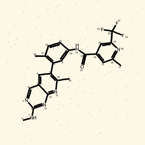 CNc1ncc2cc(-c3cc(NC(=O)c4cc(C)nc(C(F)(F)F)c4)ccc3C)c(C)nc2n1